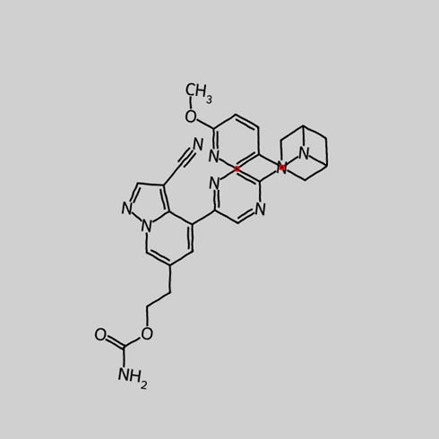 COc1ccc(CN2C3CC2CN(c2cnc(-c4cc(CCOC(N)=O)cn5ncc(C#N)c45)cn2)C3)cn1